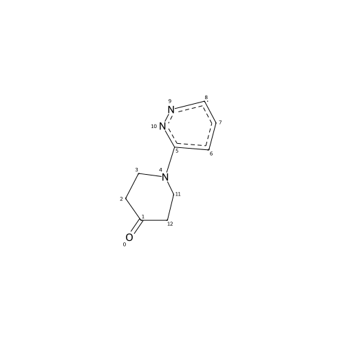 O=C1CCN(c2cc[c]nn2)CC1